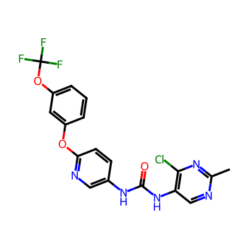 Cc1ncc(NC(=O)Nc2ccc(Oc3cccc(OC(F)(F)F)c3)nc2)c(Cl)n1